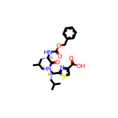 CC(C)C[C@H](NC(=O)OCc1ccccc1)C(=O)N[C@@H](CC(C)C)c1nc(C(=O)O)cs1